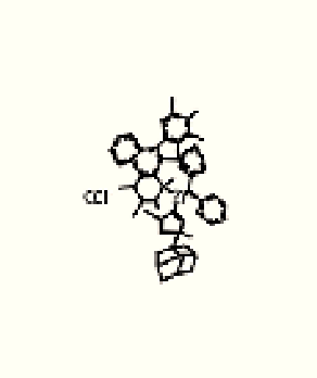 CC1=CC(C)(C23CC4CC(CC(C4)C2)C3)C=[C]1[Zr+2](=[C](c1ccccc1)c1ccccc1)[C]1(C)c2c3c(c4ccccc4c2C(C)C(C)C1C)-c1cc(C)c(C)c(C)c1C3C.[Cl-].[Cl-]